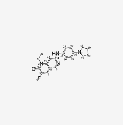 CCn1c(=O)c(F)cc2cnc(Nc3ccc(N4CCCC4)cc3)cc21